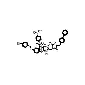 O=C(CN1C(=O)SC(=Cc2ccc(-c3ccccc3)cc2)C1=O)N[C@@H](Cc1ccc(OCc2ccc(Br)cc2)cc1)C(=O)NS(=O)(=O)c1ccc([N+](=O)[O-])cc1